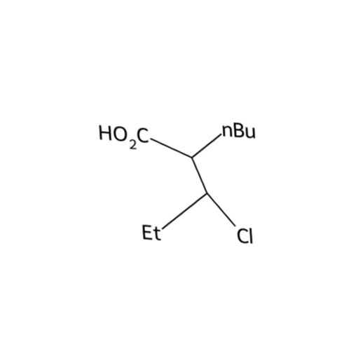 CCCCC(C(=O)O)C(Cl)CC